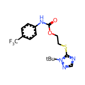 CC(C)(C)n1ncnc1SCCOC(=O)Nc1ccc(C(F)(F)F)cc1